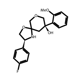 COc1ccccc1[C@@]1(O)COCC2(C1)N[C@@H](c1ccc(F)cc1)CO2